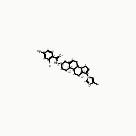 Cc1cn(C2=CCC3C4CC=C5C[C@H](NC(=O)c6ccc(F)cc6F)CC[C@]5(C)C4CC[C@]23C)cn1